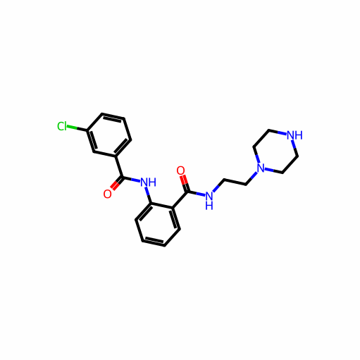 O=C(Nc1ccccc1C(=O)NCCN1CCNCC1)c1cccc(Cl)c1